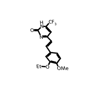 CCOc1cc(C=Cc2cc(C(F)(F)F)[nH]c(=O)n2)ccc1OC